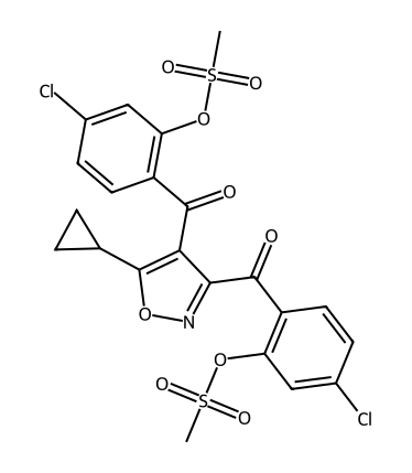 CS(=O)(=O)Oc1cc(Cl)ccc1C(=O)c1noc(C2CC2)c1C(=O)c1ccc(Cl)cc1OS(C)(=O)=O